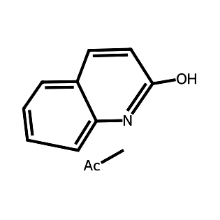 CC(C)=O.Oc1ccc2ccccc2n1